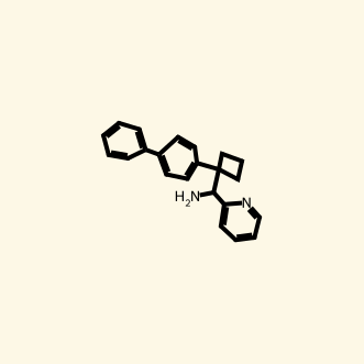 NC(c1ccccn1)C1(c2ccc(-c3ccccc3)cc2)CCC1